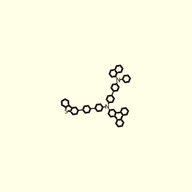 c1ccc(N(c2ccc(-c3ccc(N(c4ccc(-c5ccc(-c6ccc7sc8ccccc8c7c6)cc5)cc4)c4ccc5c6ccccc6c6ccccc6c5c4)cc3)cc2)c2cccc3ccccc23)cc1